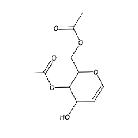 CC(=O)OCC1OC=CC(O)C1OC(C)=O